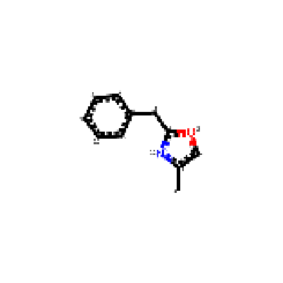 Cc1coc(Cc2ccccc2)n1